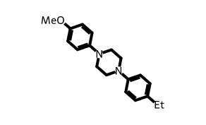 CCc1ccc(N2CCN(c3ccc(OC)cc3)CC2)cc1